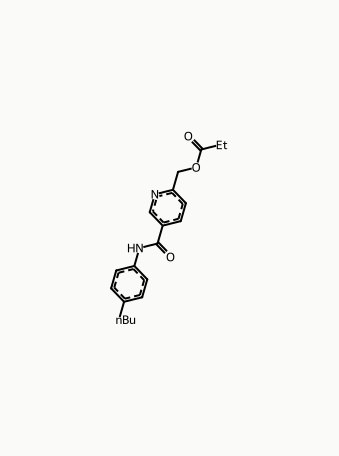 CCCCc1ccc(NC(=O)c2ccc(COC(=O)CC)nc2)cc1